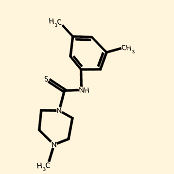 Cc1cc(C)cc(NC(=S)N2CCN(C)CC2)c1